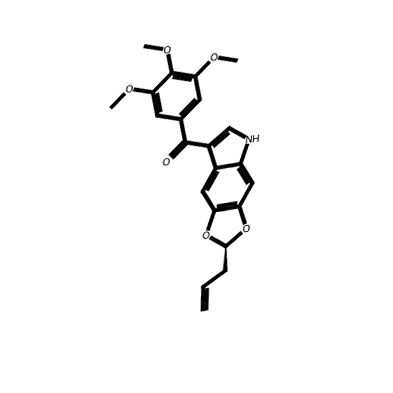 C=CC[C@@H]1Oc2cc3[nH]cc(C(=O)c4cc(OC)c(OC)c(OC)c4)c3cc2O1